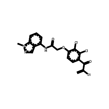 C=C(CC)C(=O)c1ccc(OCC(=O)Nc2cccc3c2cnn3C)c(Cl)c1Cl